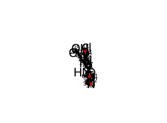 CC(NC(=O)c1ccc2nc(-c3ccc(Cl)cc3)c(CCCCC(=O)O)nc2c1)c1cccc2ncccc12